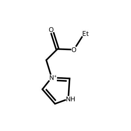 CCOC(=O)C[n+]1cc[nH]c1